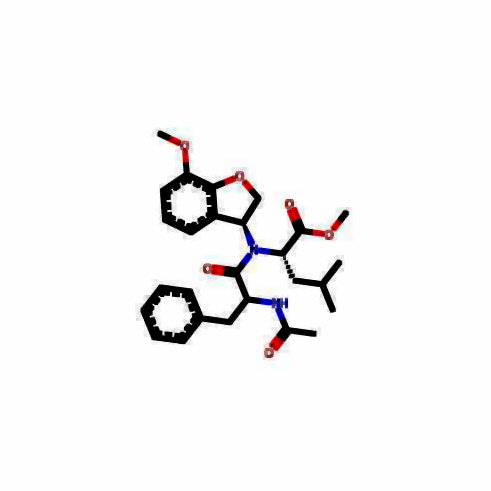 COC(=O)[C@H](CC(C)C)N(C(=O)C(Cc1ccccc1)NC(C)=O)[C@@H]1COc2c(OC)cccc21